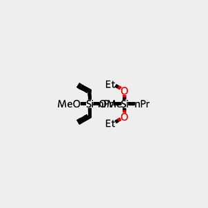 C=C[Si](C=C)(OC)OC.CCC[Si](CCC)(OCC)OCC